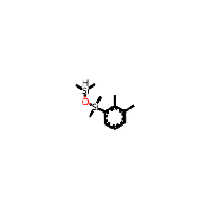 Cc1cccc([Si](C)(C)O[SiH](C)C)c1C